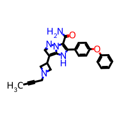 CC#CCN1CC(c2cnn3c(C(N)=O)c(-c4ccc(Oc5ccccc5)cc4)[nH]c23)C1